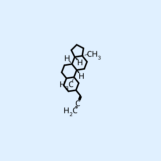 C=C=CC1CCC2CC[C@H]3[C@@H]4CCC[C@@]4(C)CC[C@@H]3[C@@]2(C)C1